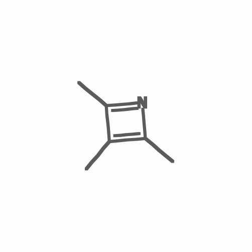 CC1=NC(C)=C1C